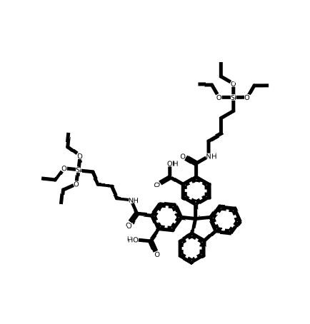 CCO[Si](CCCCNC(=O)c1ccc(C2(c3ccc(C(=O)NCCCC[Si](OCC)(OCC)OCC)c(C(=O)O)c3)c3ccccc3-c3ccccc32)cc1C(=O)O)(OCC)OCC